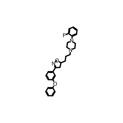 Fc1ccccc1N1CCN(CCCC2CC(c3cccc(Oc4ccccc4)c3)=NO2)CC1